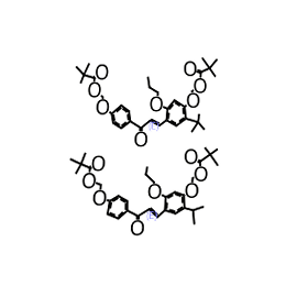 CCCOc1cc(OCOC(=O)C(C)(C)C)c(C(C)(C)C)cc1/C=C/C(=O)c1ccc(OCOC(=O)C(C)(C)C)cc1.CCCOc1cc(OCOC(=O)C(C)(C)C)c(C(C)C)cc1/C=C/C(=O)c1ccc(OCOC(=O)C(C)(C)C)cc1